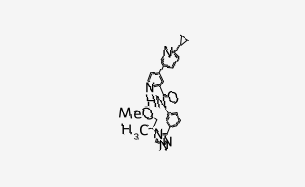 COCC(C)n1cnnc1-c1cccc(NC(=O)c2cc(-c3ccc(C4CC4)nc3)ccn2)c1